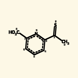 CC(=S)c1cccc(C(=O)O)n1